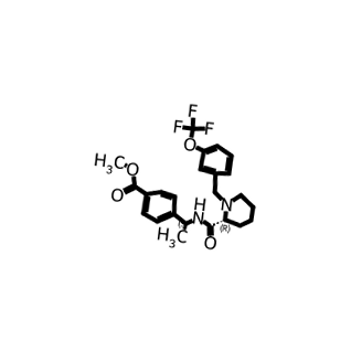 COC(=O)c1ccc([C@H](C)NC(=O)[C@H]2CCCCN2Cc2cccc(OC(F)(F)F)c2)cc1